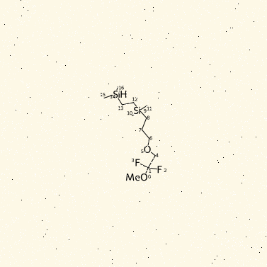 COC(F)(F)COCCC[Si](C)(C)CC[SiH](C)C